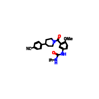 COc1ccc(NC(=O)NC(C)C)cc1C(=O)N1CCC(c2ccc(C#N)cc2)CC1